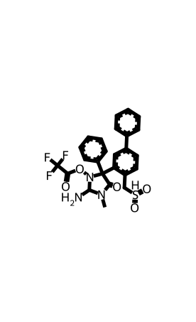 CN1C(=O)C(c2ccccc2)(c2cc(-c3ccccc3)ccc2C[SH](=O)=O)N(OC(=O)C(F)(F)F)C1N